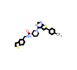 O=C(NCc1ccc2sccc2c1)[C@H]1CCCN(c2ncnc3sc(-c4ccc(C(F)(F)F)cc4)cc23)C1